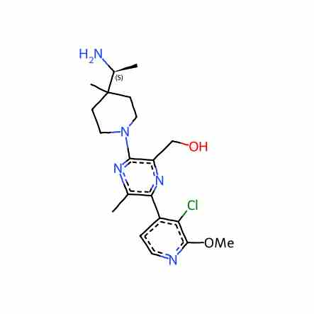 COc1nccc(-c2nc(CO)c(N3CCC(C)([C@H](C)N)CC3)nc2C)c1Cl